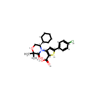 CC1(C)OC[C@@H](C2CCCCC2)N(c2cc(-c3ccc(Cl)cc3)sc2C(=O)O)C1=O